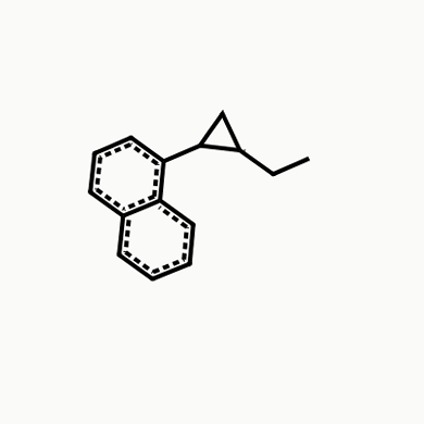 CC[C]1CC1c1cccc2ccccc12